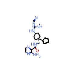 CN/C(=N\C#N)N[C@H]1CC[C@](CNC(=O)c2nccnc2N)(c2ccccc2)CC1